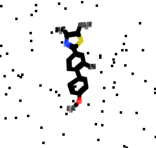 Cc1nc(-c2ccc(-c3ccc(OC(F)(F)F)cc3)c(C#N)c2)sc1C(=O)O